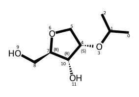 CC(C)O[C@H]1CO[C@H](CO)[C@H]1O